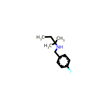 CCC(C)(C)NCc1ccc(F)cc1